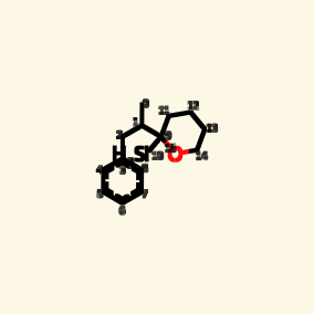 CC(Cc1ccccc1)C1([SiH3])CCCCO1